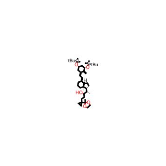 C=C1/C(=C\C=C2/CCC[C@]3(C)[C@@H]([C@H](C)[C@@H](O)CCC4(C5(C)OCCO5)CC4)CC[C@@H]23)C[C@@H](O[Si](C)(C)C(C)(C)C)C[C@@H]1O[Si](C)(C)C(C)(C)C